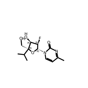 Cc1ccn([C@@H]2O[C@@](CO)(C(C)C)[C@@H](O)[C@H]2F)c(=O)n1